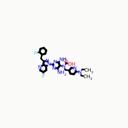 CCN(CC)c1ccc(CN(C(=O)O)c2c(N)nc(-n3nc(Cc4ccccc4F)c4ncc(F)cc43)nc2N)cn1